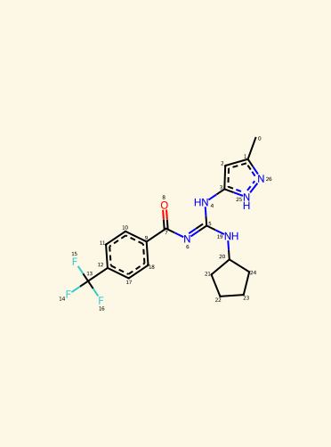 Cc1cc(N/C(=N\C(=O)c2ccc(C(F)(F)F)cc2)NC2CCCC2)[nH]n1